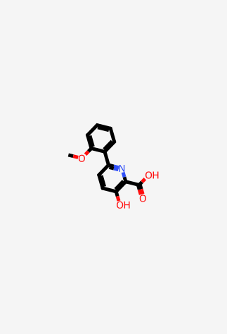 COc1ccccc1-c1ccc(O)c(C(=O)O)n1